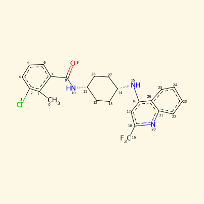 Cc1c(Cl)cccc1C(=O)N[C@H]1CC[C@@H](Nc2cc(C(F)(F)F)nc3ccccc23)CC1